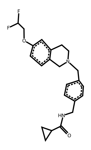 O=C(NCc1ccc(CN2CCc3cc(OCC(F)F)ccc3C2)cc1)C1CC1